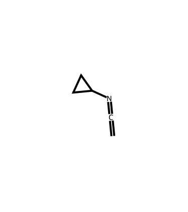 C=C=NC1CC1